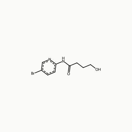 O=C(CCCO)Nc1ccc(Br)cn1